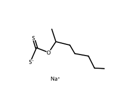 CCCCCC(C)OC(=S)[S-].[Na+]